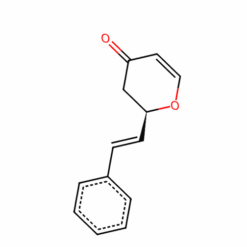 O=C1C=CO[C@@H](C=Cc2ccccc2)C1